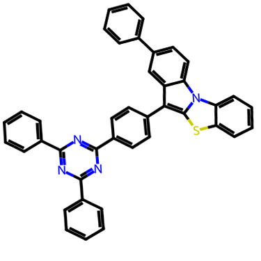 c1ccc(-c2ccc3c(c2)c(-c2ccc(-c4nc(-c5ccccc5)nc(-c5ccccc5)n4)cc2)c2sc4ccccc4n23)cc1